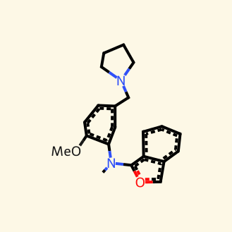 COc1ccc(CN2CCCC2)cc1N(C)c1occ2ccccc12